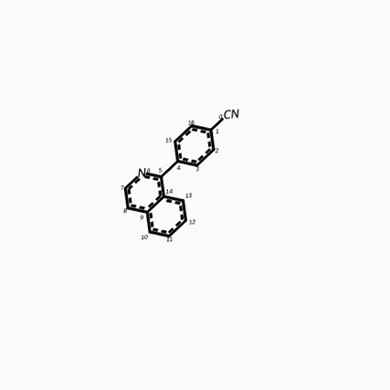 N#Cc1ccc(-c2nccc3ccccc23)cc1